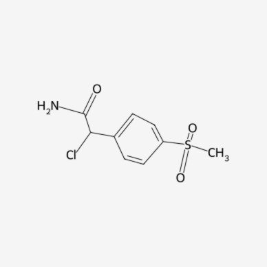 CS(=O)(=O)c1ccc(C(Cl)C(N)=O)cc1